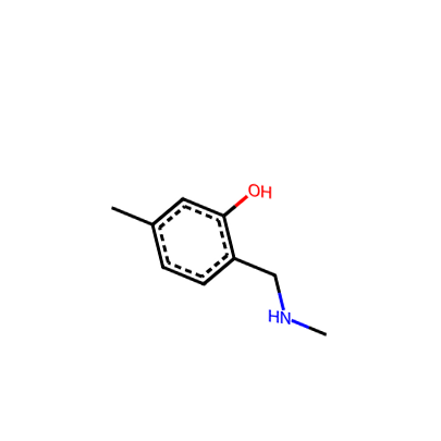 CNCc1ccc(C)cc1O